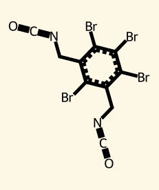 O=C=NCc1c(Br)c(Br)c(Br)c(CN=C=O)c1Br